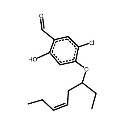 CC/C=C\CC(CC)Oc1cc(O)c(C=O)cc1Cl